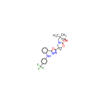 CC(C)(C)CN(CC1(c2nnc(-c3ccccc3Nc3ccc(C(F)(F)F)cc3)o2)CC1)C(=O)O